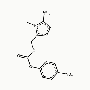 Cn1c(COC(=O)Oc2ccc([N+](=O)[O-])cc2)cnc1[N+](=O)[O-]